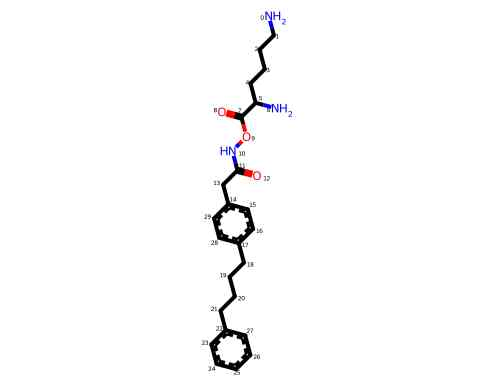 NCCCCC(N)C(=O)ONC(=O)Cc1ccc(CCCCc2ccccc2)cc1